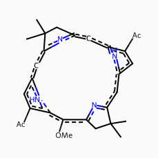 COc1c2nc(cc3cc(C(C)=O)c(cc4nc(cc5cc(C(C)=O)c1[nH]5)C(C)(C)C4)[nH]3)C(C)(C)C2